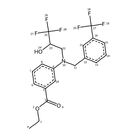 CCOC(=O)c1cccc(N(Cc2cccc(C(F)(F)F)c2)CC(O)C(F)(F)F)c1